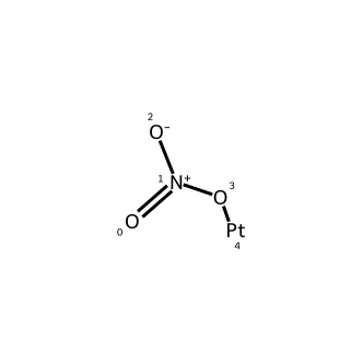 O=[N+]([O-])[O][Pt]